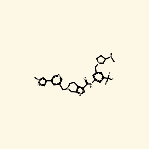 CN(C)C1CCN(Cc2cc(NC(=O)c3csc4c3CCN(Cc3cncc(-c5cnn(C)c5)c3)C4)cc(C(F)(F)F)c2)C1